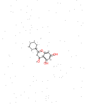 O=C1C[C@@H](C2CCCCC2)Oc2cc(O)cc(O)c21